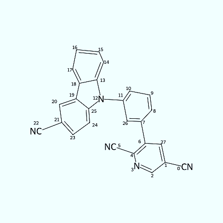 N#Cc1cnc(C#N)c(-c2cccc(-n3c4ccccc4c4cc(C#N)ccc43)c2)c1